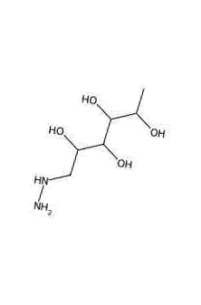 CC(O)C(O)C(O)C(O)CNN